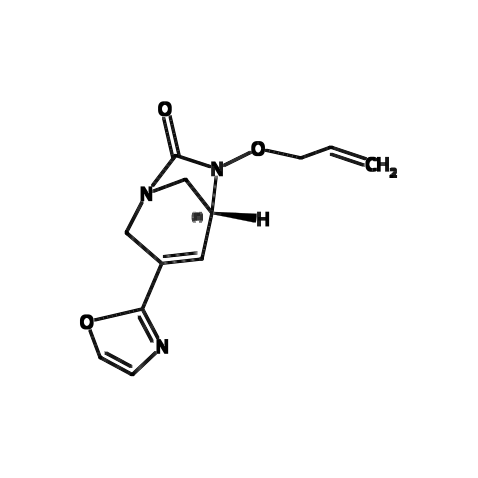 C=CCON1C(=O)N2CC(c3ncco3)=C[C@@H]1C2